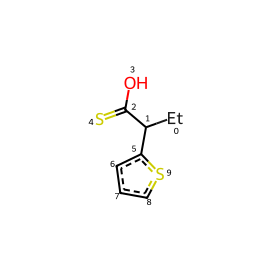 CCC(C(O)=S)c1cccs1